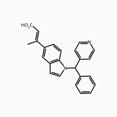 C/C(=C\C(=O)O)c1ccc2c(ccn2C(c2ccccc2)c2ccncc2)c1